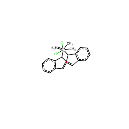 [CH3][Zr]([CH3])(=[SiH2])([Cl])([Cl])([CH]1C=Cc2ccccc21)[CH]1C=Cc2ccccc21